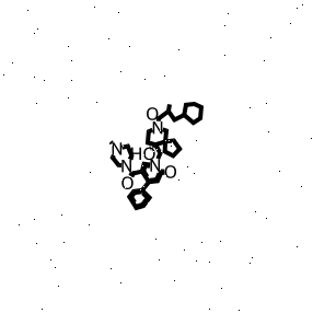 CC(CC1CCCCC1)C(=O)N1CC[C@](O)(Cn2cc(C(=O)N3CCN(C)CC3)c(-c3ccccc3)cc2=O)C2(CCCC2)C1